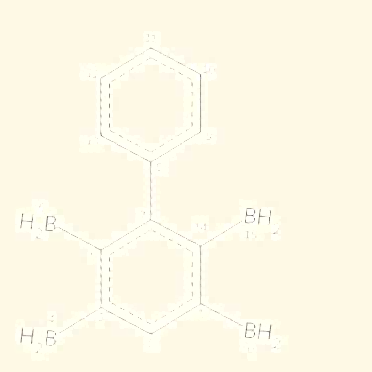 Bc1cc(B)c(B)c(-c2ccccc2)c1B